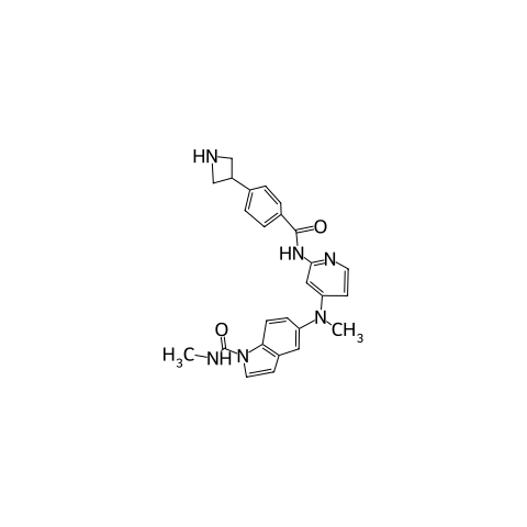 CNC(=O)n1ccc2cc(N(C)c3ccnc(NC(=O)c4ccc(C5CNC5)cc4)c3)ccc21